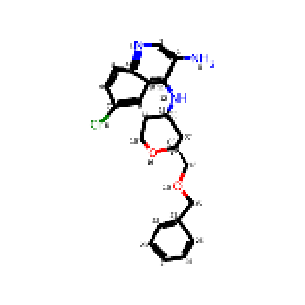 Nc1cnc2ccc(Cl)cc2c1N[C@@H]1CCO[C@H](COCc2ccccc2)C1